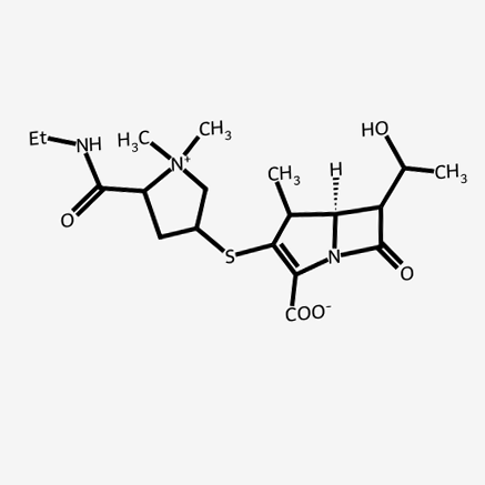 CCNC(=O)C1CC(SC2=C(C(=O)[O-])N3C(=O)C(C(C)O)[C@@H]3C2C)C[N+]1(C)C